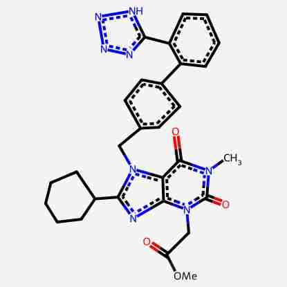 COC(=O)Cn1c(=O)n(C)c(=O)c2c1nc(C1CCCCC1)n2Cc1ccc(-c2ccccc2-c2nnn[nH]2)cc1